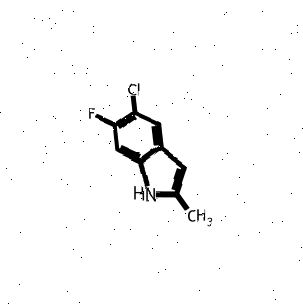 Cc1cc2cc(Cl)c(F)cc2[nH]1